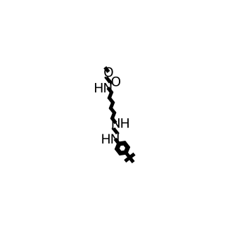 COCC(=O)NCCCCCCNCCNc1ccc(C(C)(C)C)cc1